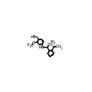 C=C(C)c1ccccc1C(=O)Nc1ccc(CCCC)c(OC(F)(F)F)c1